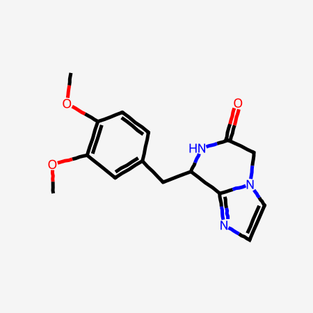 COc1ccc(CC2NC(=O)Cn3ccnc32)cc1OC